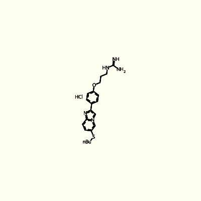 CCCCSc1ccc2nc(-c3ccc(OCCCNC(=N)N)cc3)cn2c1.Cl